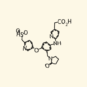 O=C(O)Cc1ccc(Nc2ccc(Oc3ccc(C[SH](=O)=O)nc3)c(CN3CCCC3=O)c2)nc1